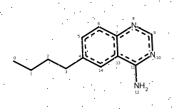 CCCCc1ccc2ncnc(N)c2c1